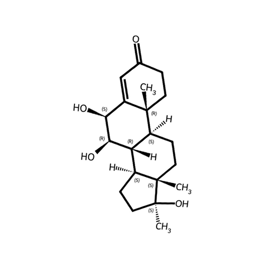 C[C@]12CCC(=O)C=C1[C@H](O)[C@H](O)[C@@H]1[C@@H]2CC[C@@]2(C)[C@H]1CC[C@]2(C)O